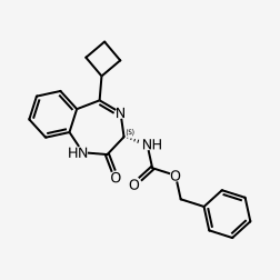 O=C(N[C@H]1N=C(C2CCC2)c2ccccc2NC1=O)OCc1ccccc1